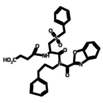 O=C(O)CCC(=O)NC(CS(=O)(=O)Cc1ccccc1)C(=O)N(CCCc1ccccc1)C(=O)c1nc2ccccc2o1